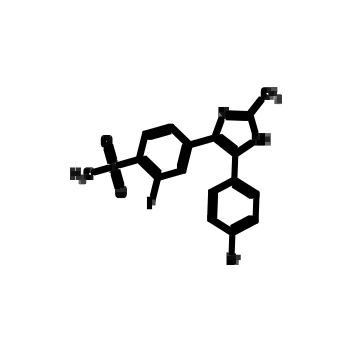 CS(=O)(=O)c1ccc(-c2nc(C(F)(F)F)[nH]c2-c2ccc(Br)cc2)cc1F